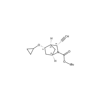 C#C[C@H]1[C@H]2C[C@H](C[C@@H]2OC2CC2)N1C(=O)OC(C)(C)C